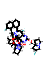 CC1Oc2nc(-c3cccc4ccc(F)c(C#C[Si](C(C)C)(C(C)C)C(C)C)c34)c(F)c3nc(OC[C@@]45CCCN4C[C@H](F)C5)nc(c23)N2CC3CCC(C12)N3C(=O)O